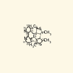 Cc1cc(-c2c(C3CC(C)S[C@H]3C)c3cccnc3c3ncccc23)c(C)s1